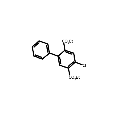 CCOC(=O)c1cc(-c2ccccc2)c(C(=O)OCC)cc1Cl